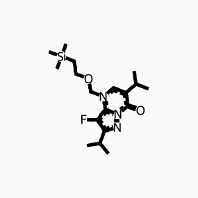 CC(C)c1nn2c(=O)c(C(C)C)cn(COCC[Si](C)(C)C)c2c1F